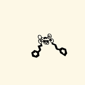 O=S(=O)(CS(=O)(=O)OCC=Cc1ccccc1)OCC=Cc1ccccc1